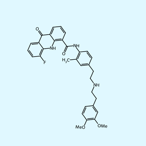 COc1ccc(CCNCCc2ccc(NC(=O)c3cccc4c(=O)c5cccc(F)c5[nH]c34)c(C)c2)cc1OC